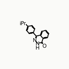 CC(C)c1ccc(-c2n[nH]c(=O)c3ccccc23)cc1